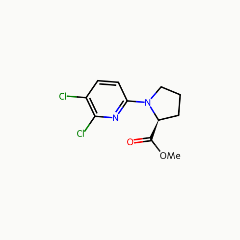 COC(=O)[C@@H]1CCCN1c1ccc(Cl)c(Cl)n1